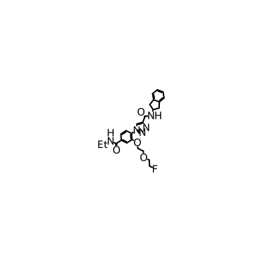 CCNC(=O)c1ccc(-n2cc(C(=O)NC3Cc4ccccc4C3)nn2)c(OCCOCCF)c1